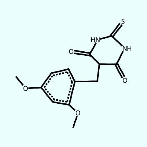 COc1ccc(CC2C(=O)NC(=S)NC2=O)c(OC)c1